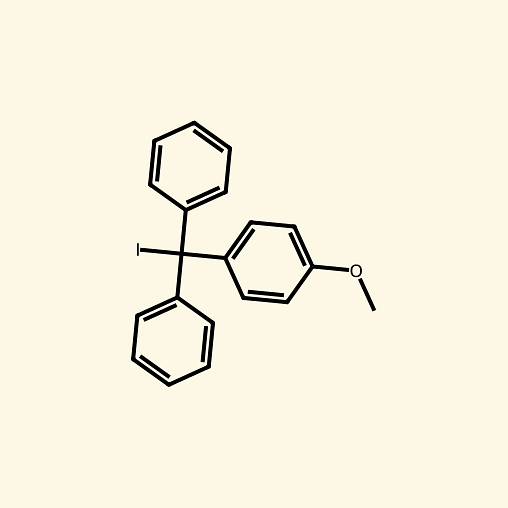 COc1ccc(C(I)(c2ccccc2)c2ccccc2)cc1